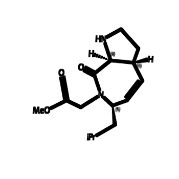 COC(=O)CN1C(=O)[C@H]2NCC[C@@H]2C=C[C@H]1CC(C)C